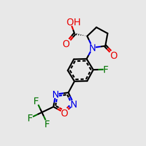 O=C(O)[C@@H]1CCC(=O)N1c1ccc(-c2noc(C(F)(F)F)n2)cc1F